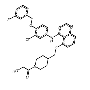 O=C(CO)N1CCC(COc2cccc3ncnc(Nc4ccc(OCc5cccc(F)c5)c(Cl)c4)c23)CC1